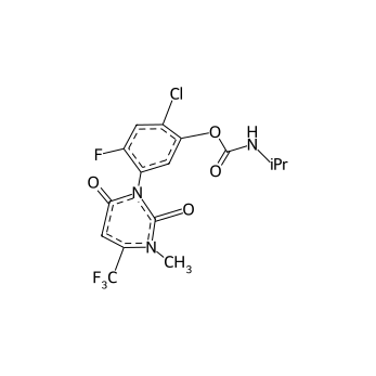 CC(C)NC(=O)Oc1cc(-n2c(=O)cc(C(F)(F)F)n(C)c2=O)c(F)cc1Cl